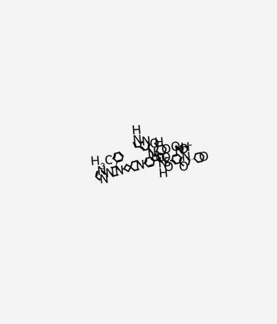 Cc1ccccc1[C@@H]1CN(c2ncccn2)CCN1C1CC2(CCN(c3ccc(C(=O)NS(=O)(=O)c4cc5c(c([N+](=O)[O-])c4)N[C@H](C4CCOCC4)CO5)c(N4c5cc6cc[nH]c6nc5O[C@H]5COCC[C@@H]54)c3)CC2)C1